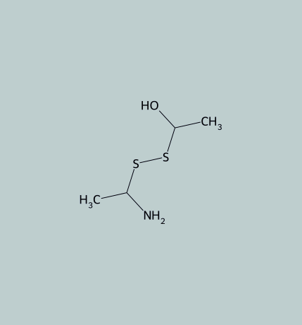 CC(N)SSC(C)O